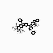 CC1(C)C2=c3ccccc3=CC2=Cc2c(-c3ccc4c(c3)c3cc5c(cc3n4-c3ccccc3)C(C)(C)C(C)(C)C5(C)C)c3ccn(-c4ccccc4)cc-3c21